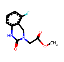 COC(=O)CN1Cc2c(F)cccc2NC1=O